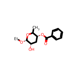 CCO[C@@H]1OC(C)[C@H](OC(=O)c2ccccc2)C[C@@H]1O